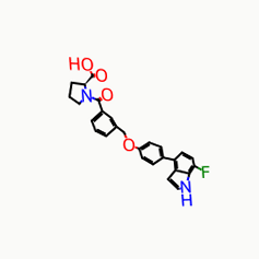 O=C(O)[C@@H]1CCCN1C(=O)c1cccc(COc2ccc(-c3ccc(F)c4[nH]ccc34)cc2)c1